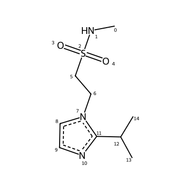 CNS(=O)(=O)CCn1ccnc1C(C)C